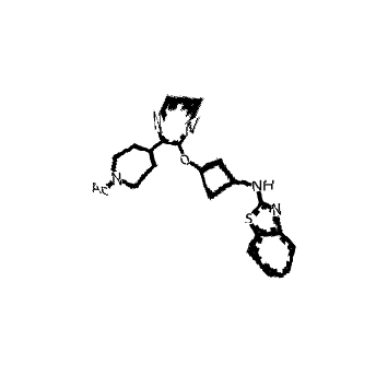 CC(=O)N1CCC(c2nccnc2OC2CC(Nc3nc4ccccc4s3)C2)CC1